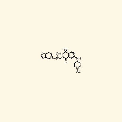 CC(=O)N1CCC(Nc2cc3c(cn2)C2(CC2)CN(C[C@H](O)CN2CCc4sccc4C2)C3=O)CC1